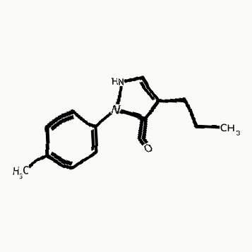 CCCc1c[nH]n(-c2ccc(C)cc2)c1=O